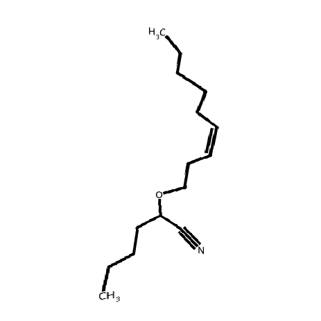 CCCCC/C=C\CCOC(C#N)CCCC